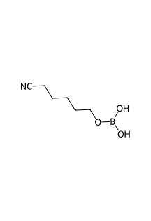 N#CCCCCCOB(O)O